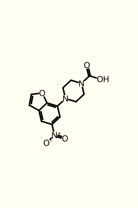 O=C(O)N1CCN(c2cc([N+](=O)[O-])cc3ccoc23)CC1